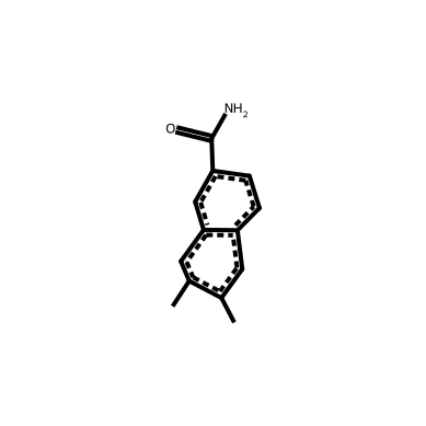 Cc1cc2ccc(C(N)=O)cc2cc1C